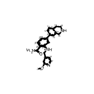 COc1cc(CNc2cc(-c3ccc4c(c3)CNCC4)ccc2C(N)=O)ccn1